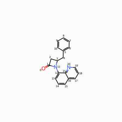 O=C1CC(Cc2ccccc2)N1c1cccc2cccnc12